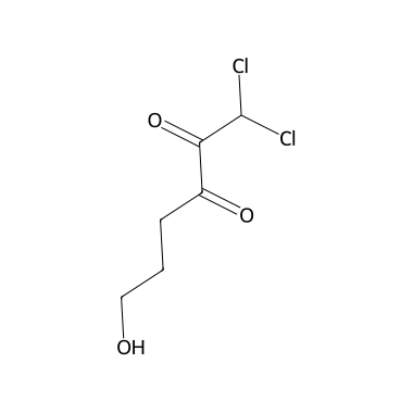 O=C(CCCO)C(=O)C(Cl)Cl